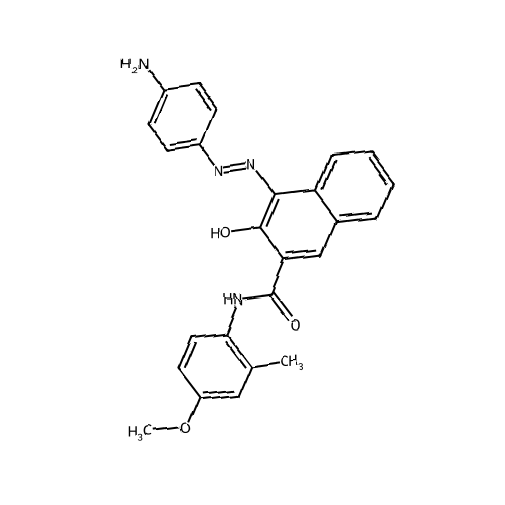 COc1ccc(NC(=O)c2cc3ccccc3c(N=Nc3ccc(N)cc3)c2O)c(C)c1